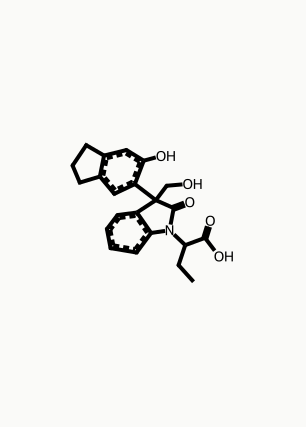 CCC(C(=O)O)N1C(=O)C(CO)(c2cc3c(cc2O)CCC3)c2ccccc21